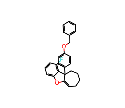 Fc1cccc2c1C1(c3ccc(OCc4ccccc4)cc3)CCCCC=C1O2